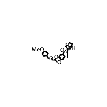 COc1ccc(COC[C@@H]2COc3ccc(C(=O)N[C@@H]4C[C@@H]5CCN(C5)C4)cc3O2)cc1